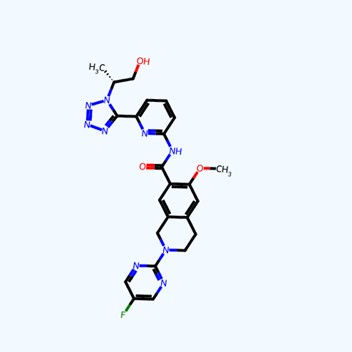 COc1cc2c(cc1C(=O)Nc1cccc(-c3nnnn3[C@H](C)CO)n1)CN(c1ncc(F)cn1)CC2